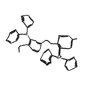 CCc1ccc(CCc2ccc(C)cc2P(c2ccccc2)c2ccccc2)cc1P(c1ccccc1)c1ccccc1